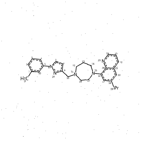 Cc1cccc(-n2ccc(CN3CCCN(c4cc(C(C)C)cc5cccnc45)CC3)n2)c1